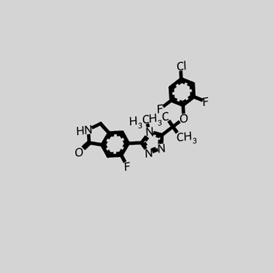 Cn1c(-c2cc3c(cc2F)C(=O)NC3)nnc1C(C)(C)Oc1c(F)cc(Cl)cc1F